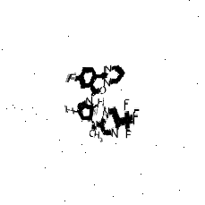 CN(c1cnc(C(F)(F)F)cn1)[C@@H]1C[C@H]2C[C@@H]1N(C(=O)c1cc(F)ccc1-c1ncccn1)C2